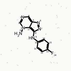 Nn1cncc2nnc(Nc3ccc(F)cc3)c1-2